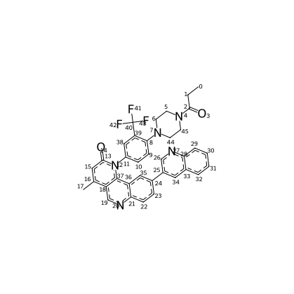 CCC(=O)N1CCN(c2ccc(-n3c(=O)cc(C)c4cnc5ccc(-c6cnc7ccccc7c6)cc5c43)cc2C(F)(F)F)CC1